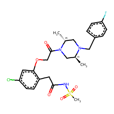 C[C@@H]1CN(Cc2ccc(F)cc2)[C@@H](C)CN1C(=O)COc1cc(Cl)ccc1CC(=O)NS(C)(=O)=O